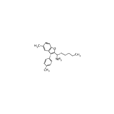 CCCCCC(N)c1oc2ccc(C)cc2c1-c1ccc(C)cc1